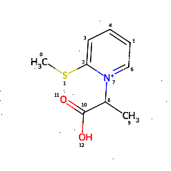 CSc1cccc[n+]1C(C)C(=O)O